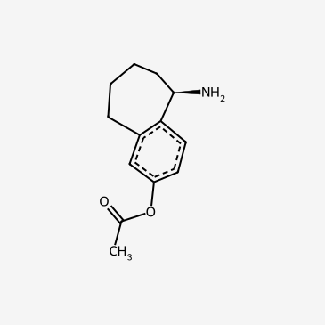 CC(=O)Oc1ccc2c(c1)CCCC[C@H]2N